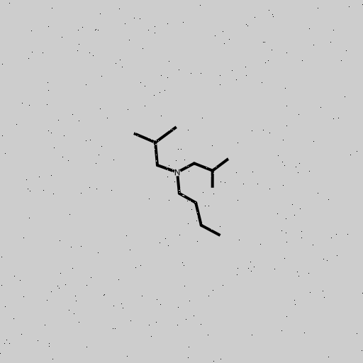 CCCCN(CC(C)C)CC(C)C